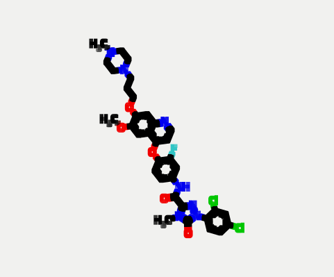 COc1cc2c(Oc3ccc(NC(=O)c4nn(-c5ccc(Cl)cc5Cl)c(=O)n4C)cc3F)ccnc2cc1OCCCN1CCN(C)CC1